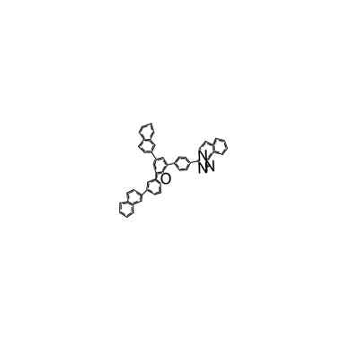 c1ccc2cc(-c3ccc4oc5c(-c6ccc(-c7nnc8c9ccccc9ccn78)cc6)cc(-c6ccc7ccccc7c6)cc5c4c3)ccc2c1